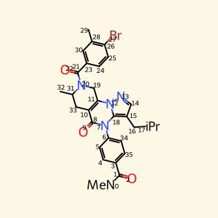 CNC(=O)c1ccc(-n2c(=O)c3c(n4ncc(CC(C)C)c24)CN(C(=O)c2ccc(Br)c(C)c2)C(C)C3)cc1